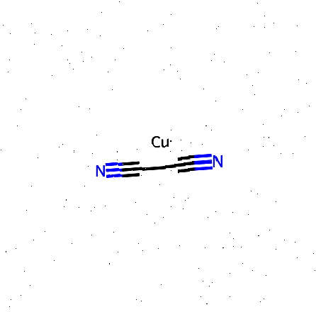 N#CC#N.[Cu]